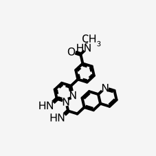 CNC(=O)c1cccc(-c2ccc(=N)n(C(=N)CC3=CC4C=CC=NC4C=C3)n2)c1